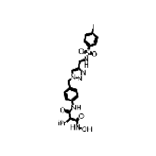 CC(C)C(C(=O)NO)C(=O)Nc1ccc(Cn2cc(CNS(=O)(=O)c3ccc(I)cc3)nn2)cc1